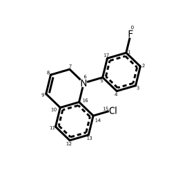 Fc1cccc(N2CC=Cc3cccc(Cl)c32)c1